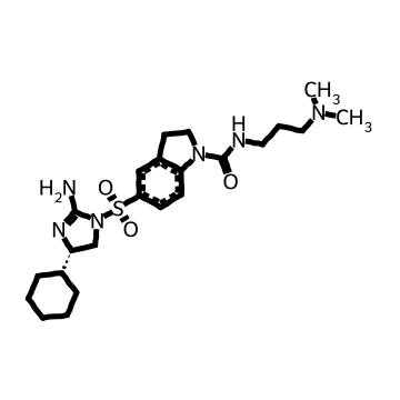 CN(C)CCCNC(=O)N1CCc2cc(S(=O)(=O)N3C[C@H](C4CCCCC4)N=C3N)ccc21